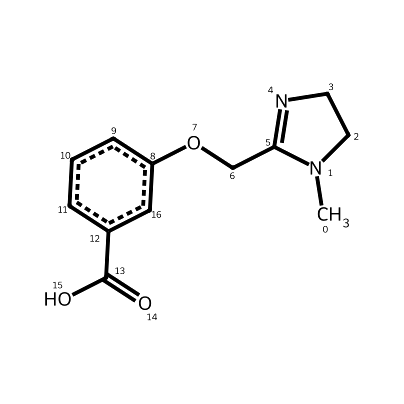 CN1CCN=C1COc1cccc(C(=O)O)c1